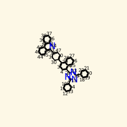 C1=C(c2ccc(-c3nc(-c4ccccc4)nc(-c4ccccc4)n3)c3ccccc23)CCC(c2nc3ccccc3c3ccccc23)=C1